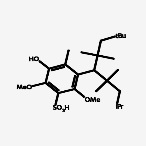 COc1c(O)c(C)c(C(C(C)(C)CC(C)C)C(C)(C)CC(C)(C)C)c(OC)c1S(=O)(=O)O